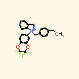 CCc1ccc(C[N+]2(c3ccc4c(c3)OC(F)(F)C(F)(F)O4)N=Cc3ccccc32)cc1